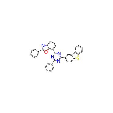 c1ccc(-c2nc(-c3ccc4sc5ccccc5c4c3)nc(-c3cccc4nc(-c5ccccc5)oc34)n2)cc1